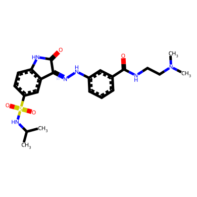 CC(C)NS(=O)(=O)c1ccc2c(c1)/C(=N/Nc1cccc(C(=O)NCCN(C)C)c1)C(=O)N2